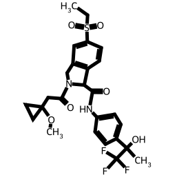 CCS(=O)(=O)c1ccc2c(c1)CN(C(=O)CC1(OC)CC1)C2C(=O)Nc1ccc(C(C)(O)C(F)(F)F)cc1